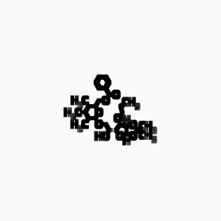 C=CCO[C@@H]1[C@@H]2OC(C)(C)O[C@H]2O[C@@H]1C(O)CO[C@H]1OC(COC(=O)c2ccccc2)[C@@H](C)[C@H](C)C1C